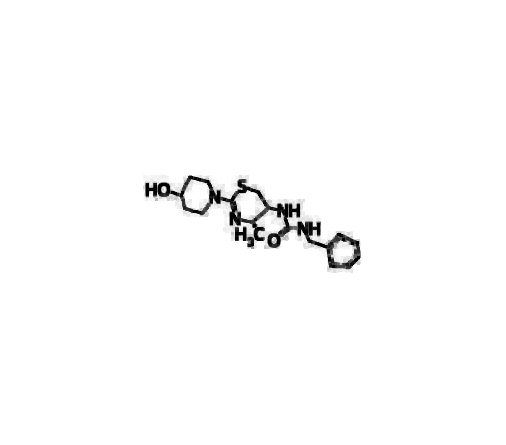 C[C@H]1N=C(N2CCC(O)CC2)SCC1NC(=O)NCc1ccccc1